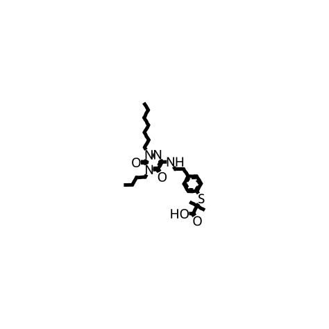 CCCCCCCn1nc(NCCc2ccc(SC(C)(C)C(=O)O)cc2)c(=O)n(CCCC)c1=O